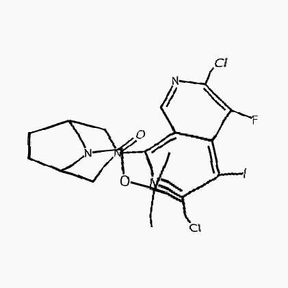 CC(C)(C)OC(=O)N1C2CCC1CN(c1nc(Cl)c(I)c3c(F)c(Cl)ncc13)C2